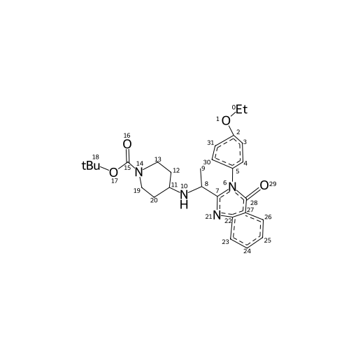 CCOc1ccc(-n2c(C(C)NC3CCN(C(=O)OC(C)(C)C)CC3)nc3ccccc3c2=O)cc1